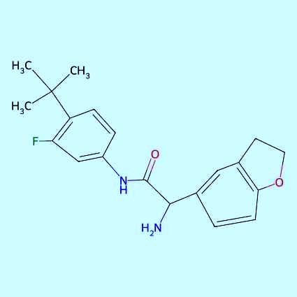 CC(C)(C)c1ccc(NC(=O)C(N)c2ccc3c(c2)CCO3)cc1F